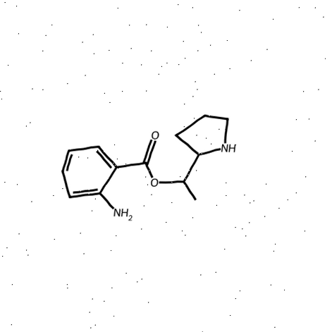 CC(OC(=O)c1ccccc1N)C1CCCN1